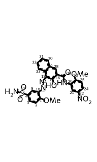 COc1ccc(S(N)(=O)=O)cc1/N=N/c1c(O)c(C(=O)Nc2cc([N+](=O)[O-])ccc2OC)cc2ccccc12